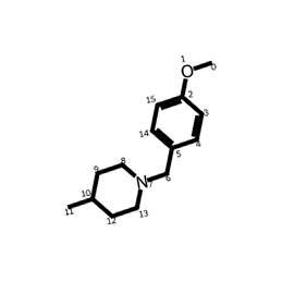 COc1ccc(CN2CCC(C)CC2)cc1